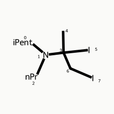 CCCC(C)N(CCC)C(C)(I)CI